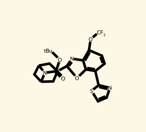 CC(C)(C)OC(=O)N1C2CC1CN(c1nc3c(OC(F)(F)F)ccc(-c4nccs4)c3o1)C2